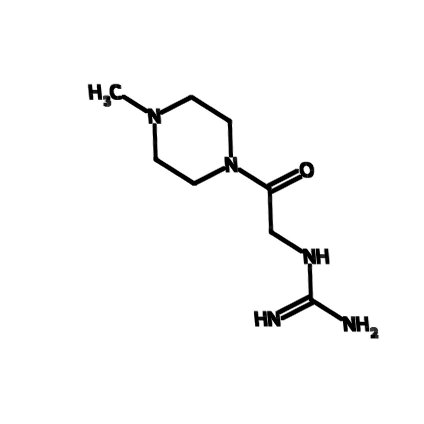 CN1CCN(C(=O)CNC(=N)N)CC1